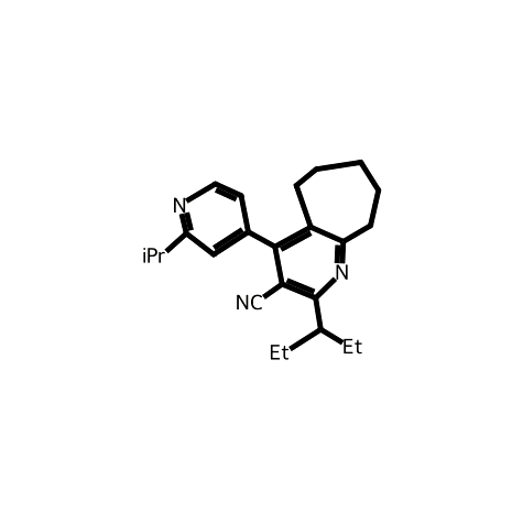 CCC(CC)c1nc2c(c(-c3ccnc(C(C)C)c3)c1C#N)CCCCC2